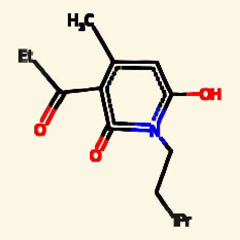 CCC(=O)c1c(C)cc(O)n(CCC(C)C)c1=O